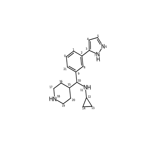 c1cc(-c2ccn[nH]2)cc(C(NC2CC2)C2CCNCC2)c1